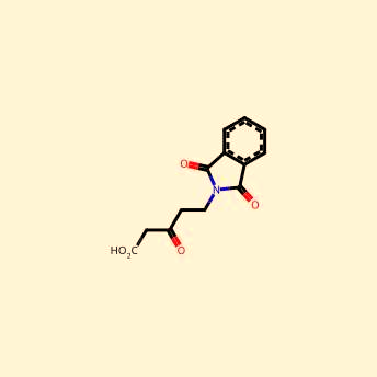 O=C(O)CC(=O)CCN1C(=O)c2ccccc2C1=O